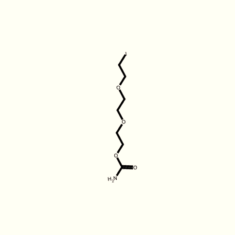 NC(=O)OCCOCCOCCI